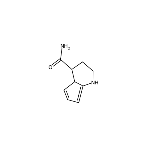 NC(=O)C1CCNC2=CC=CC21